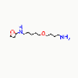 NCCCCOCCCCCNC1CCO1